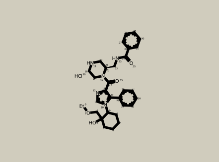 CCOCC1(O)CCCCC1n1cnc(C(=O)N2CCNC[C@H]2CNC(=O)c2ccccc2)c1-c1ccccc1.Cl